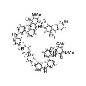 CCN1CCN(Cc2ccc(NC(=O)c3cc(OC)c(Cl)c(Nc4ncncc4-c4cc(Nc5ccc(CN6CCOCC6)cn5)ncn4)c3Cl)cc2C(F)(F)F)CC1.COc1cc(OC)c(Cl)c(Nc2nccnc2-c2cc(Nc3ccc(CN4CCOCC4)cn3)ncn2)c1Cl